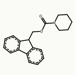 O=C(OCC1c2ccccc2-c2ccccc21)N1CCCCC1